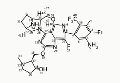 Cc1c(F)c(N)cc(-c2nc3c4c(nc(OC[C@H]5[C@@H](O)CCN5C)nc4c2F)N2C[C@H]4CC[C@H](N4)[C@H]2[C@H](C)O3)c1C(F)(F)F